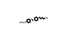 CCCCC[C@H]1CC[C@H](CC[C@H]2CC[C@H](CCCCC#N)CC2)CC1